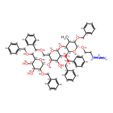 CC1C(OCc2ccccc2)[C@H](OCCN=[N+]=[N-])O[C@@H](COCc2ccccc2)[C@H]1O[C@@H]1OC(COCc2ccccc2)[C@H](O[C@H]2OC(COCc3ccccc3)[C@H](O)[C@H](O)C2OCc2ccccc2)[C@H](O)C1OCc1ccccc1